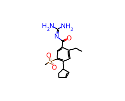 CCc1cc(C2C=CCC2)c(S(C)(=O)=O)cc1C(=O)N=C(N)N